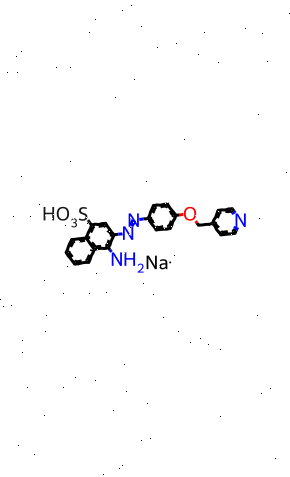 Nc1c(N=Nc2ccc(OCc3ccncc3)cc2)cc(S(=O)(=O)O)c2ccccc12.[Na]